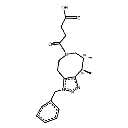 C[C@H]1CN(C(=O)CCC(=O)O)CCc2c(nnn2Cc2ccccc2)[C@@H]1C